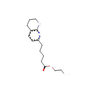 COCCOC(=O)CCCCc1ccc2c(n1)NCCC2